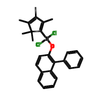 CC1=C(C)C(C)(C)[C]([Ti]([Cl])([Cl])[O]c2ccc3ccccc3c2-c2ccccc2)=C1C